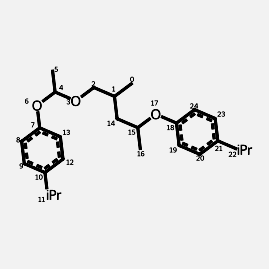 CC(COC(C)Oc1ccc(C(C)C)cc1)CC(C)Oc1ccc(C(C)C)cc1